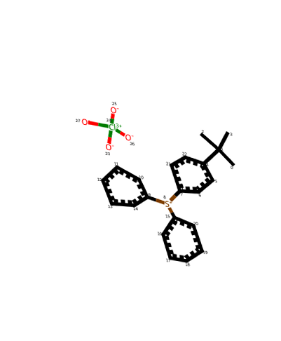 CC(C)(C)c1ccc([S+](c2ccccc2)c2ccccc2)cc1.[O-][Cl+3]([O-])([O-])[O-]